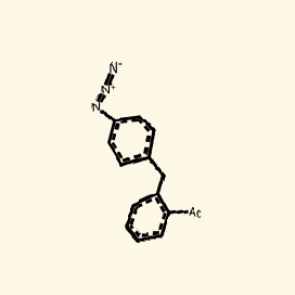 CC(=O)c1ccccc1Cc1ccc(N=[N+]=[N-])cc1